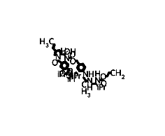 C=CCOC(=O)N[C@H](CN[C@@H](C)CNc1ccc(COC(=O)N2c3cc(O[Si](C(C)C)(C(C)C)C(C)C)c(OC)cc3C(=O)N3C=C(/C=C/C)C[C@H]3[C@@H]2O)cc1)C(C)C